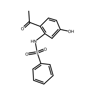 CC(=O)c1ccc(O)cc1NS(=O)(=O)c1ccccc1